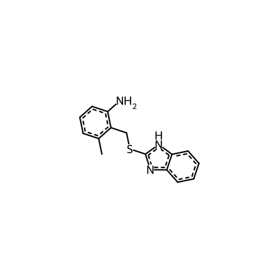 Cc1cccc(N)c1CSc1nc2ccccc2[nH]1